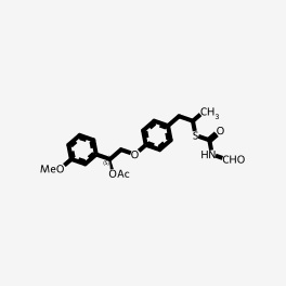 COc1cccc([C@@H](COc2ccc(CC(C)SC(=O)NC=O)cc2)OC(C)=O)c1